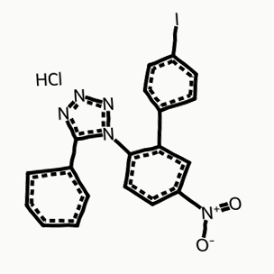 Cl.O=[N+]([O-])c1ccc(-n2nnnc2-c2ccccc2)c(-c2ccc(I)cc2)c1